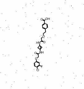 O=C(COCCc1ccc(C(=O)O)cc1)NC12CC(NC(=O)COc3ccc(Cl)c(F)c3)(C1)C2